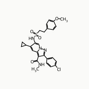 CNC(=O)c1c(-c2ccc(Cl)cc2)nn2cc(NS(=O)(=O)CCc3ccc(OC)cc3)c(C3CC3)cc12